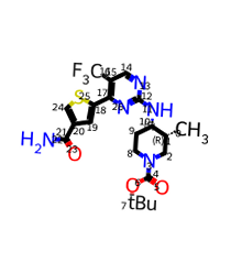 C[C@@H]1CN(C(=O)OC(C)(C)C)CC[C@@H]1Nc1ncc(C(F)(F)F)c(-c2cc(C(N)=O)cs2)n1